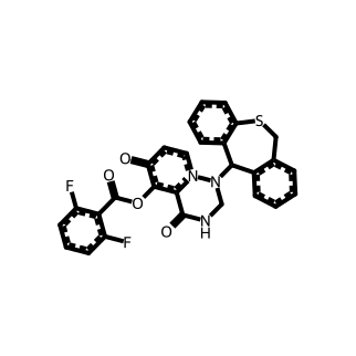 O=C(Oc1c2n(ccc1=O)N(C1c3ccccc3CSc3ccccc31)CNC2=O)c1c(F)cccc1F